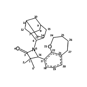 CC1(C)C(=O)N(C2C3CC4CC(C3)CC2C4)C1c1cccc2c1OCCCC2